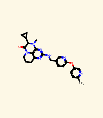 CN1c2nc(NCc3ccc(Oc4ccc(C(F)(F)F)nc4)nc3)nc3c2N(CCC3)C(=O)C1C1CC1